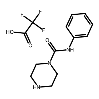 O=C(Nc1ccccc1)N1CCNCC1.O=C(O)C(F)(F)F